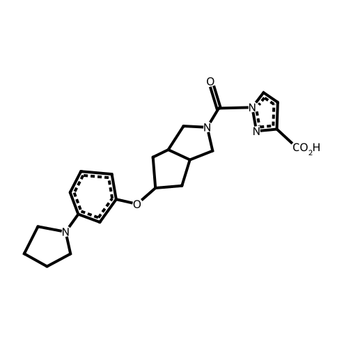 O=C(O)c1ccn(C(=O)N2CC3CC(Oc4cccc(N5CCCC5)c4)CC3C2)n1